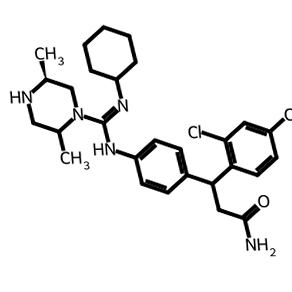 CC1CN[C@@H](C)CN1/C(=N\C1CCCCC1)Nc1ccc(C(CC(N)=O)c2ccc(Cl)cc2Cl)cc1